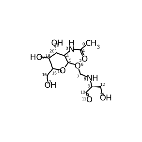 CC(=O)NC1C(OCN[C@H](C=O)CO)OC(CO)C(O)[C@@H]1O